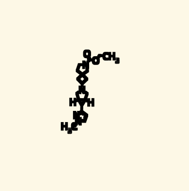 CCOC(=O)N1CCC2(CC(N3C[C@@H]4C(c5ccn(C)n5)[C@@H]4C3)C2)C1